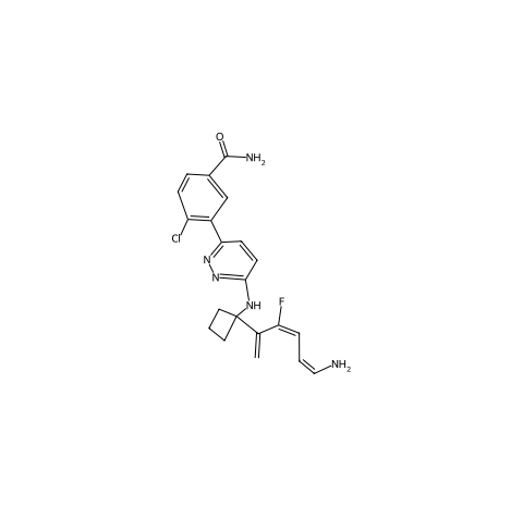 C=C(/C(F)=C\C=C/N)C1(Nc2ccc(-c3cc(C(N)=O)ccc3Cl)nn2)CCC1